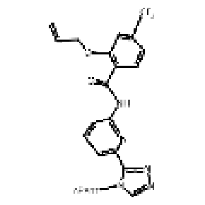 C=CCOc1cc(C(F)(F)F)ccc1C(=O)Nc1cccc(-c2nncn2CCCCC)n1